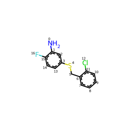 Nc1cc(SCc2ccccc2Cl)ccc1F